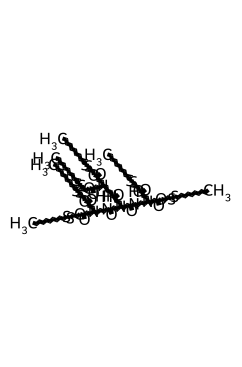 CCCCCCCCCCSSCCOC(=O)CCN(CCCNC(=O)CCN(CCC(=O)NCCCN(CCC(=O)OCCSSCCCCCCCCCC)CCC(=O)OCCSSCCCCCCCCCC)CCC(=O)NCCCN(CCC(=O)OCCSSCCCCCCCCCC)CCC(=O)OCCSSCCCCCCCCCC)CCC(=O)OCCSSCCCCCCCCCC